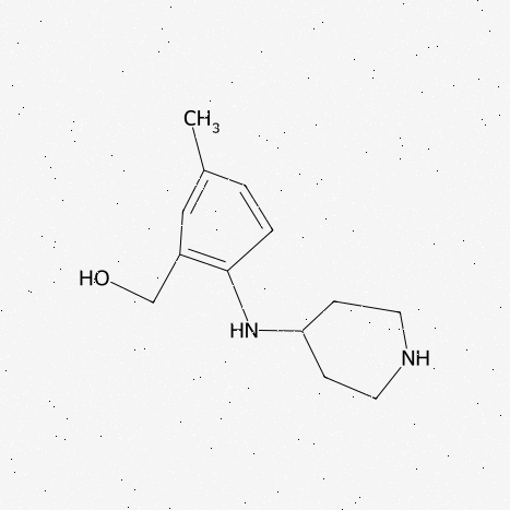 Cc1ccc(NC2CCNCC2)c(CO)c1